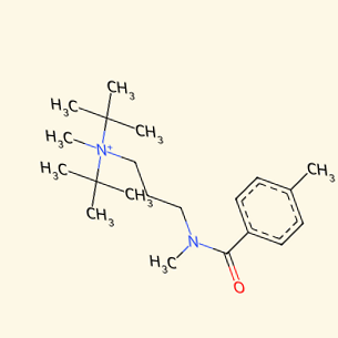 Cc1ccc(C(=O)N(C)CCC[N+](C)(C(C)(C)C)C(C)(C)C)cc1